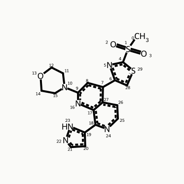 CS(=O)(=O)c1nc(-c2cc(N3CCOCC3)nc3c(-c4ccn[nH]4)nccc23)cs1